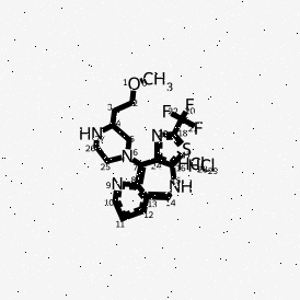 COCCC1CN(C2=c3ncccc3=CNc3sc(C(F)(F)F)nc32)CCN1.Cl.Cl